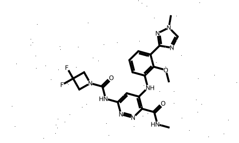 CNC(=O)c1nnc(NC(=O)N2CC(F)(F)C2)cc1Nc1cccc(-c2ncn(C)n2)c1OC